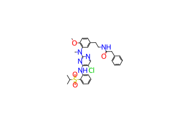 COc1ccc(CCNC(=O)Cc2ccccc2)cc1N(C)c1ncc(Cl)c(Nc2ccccc2S(=O)(=O)C(C)C)n1